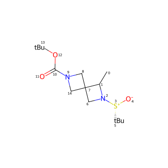 CC1N([S@+]([O-])C(C)(C)C)CC12CN(C(=O)OC(C)(C)C)C2